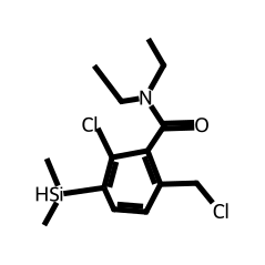 CCN(CC)C(=O)c1c(CCl)ccc([SiH](C)C)c1Cl